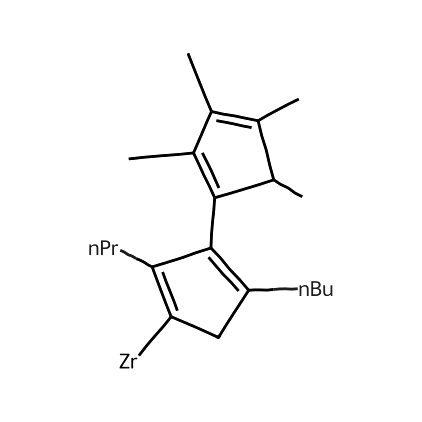 CCCCC1=C(C2=C(C)C(C)=C(C)C2C)C(CCC)=[C]([Zr])C1